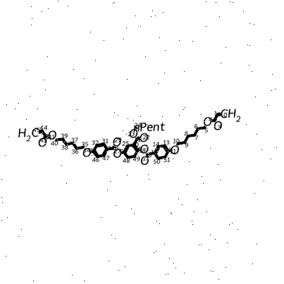 C=CC(=O)OCCCCCCOC1=CC=C(C(=O)OC2=C(C(=O)OCCCCC)C=C(OC(=O)c3ccc(OCCCCCCOC(=O)C=C)cc3)CC2)CC1